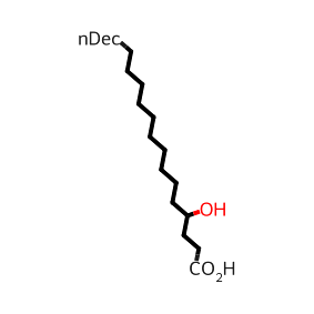 CCCCCCCCCCCCCCCCCCCCC(O)CCC(=O)O